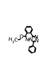 CCOc1nn2c(-c3ccccc3)nnc2c2ccccc12